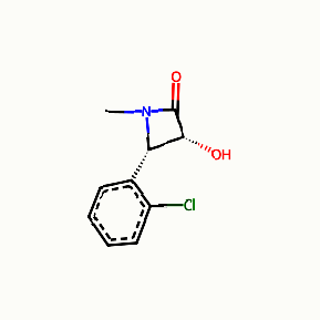 CN1C(=O)[C@H](O)[C@@H]1c1ccccc1Cl